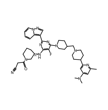 Cc1cc(N(C)C)cc(C2CCN(CC3CCN(c4nc(-c5cnn6ccccc56)nc(N[C@@H]5CCCN(C(=O)CC#N)C5)c4F)CC3)CC2)n1